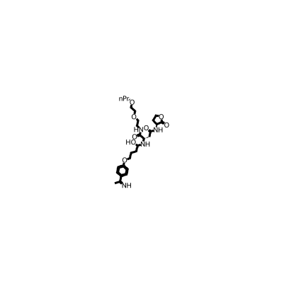 CCCOCCOCCNC(=O)[C@H](CC(=O)N[C@H]1CCOC1=O)NC(O)CCCOc1ccc(C(C)=N)cc1